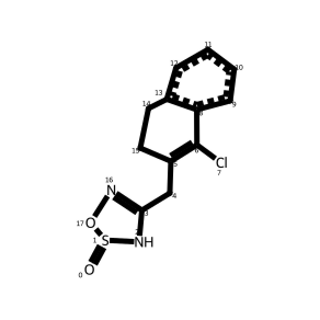 O=S1NC(CC2=C(Cl)c3ccccc3CC2)=NO1